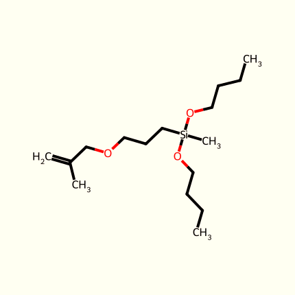 C=C(C)COCCC[Si](C)(OCCCC)OCCCC